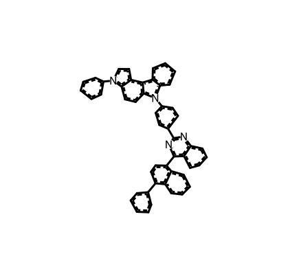 c1ccc(-c2ccc(-c3nc(-c4ccc(-n5c6ccccc6c6c7ccn(-c8ccccc8)c7ccc65)cc4)nc4ccccc34)c3ccccc23)cc1